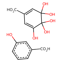 O=C(O)C1=CC(O)(O)C(O)(O)C(O)=C1.O=C(O)c1cccc(O)c1